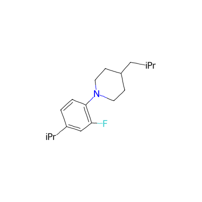 CC(C)CC1CCN(c2ccc(C(C)C)cc2F)CC1